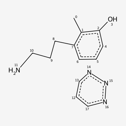 Cc1c(O)cccc1CCCN.c1cnnnc1